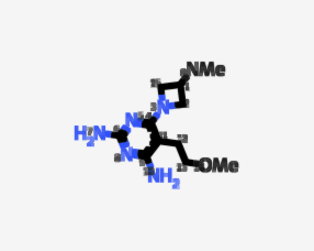 CNC1CN(c2nc(N)nc(N)c2CCOC)C1